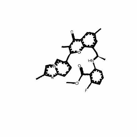 COC(=O)c1c(F)cccc1N[C@H](C)c1cc(C)cc2c(=O)c(C)c(-c3ccc4nc(C)cn4c3)oc12